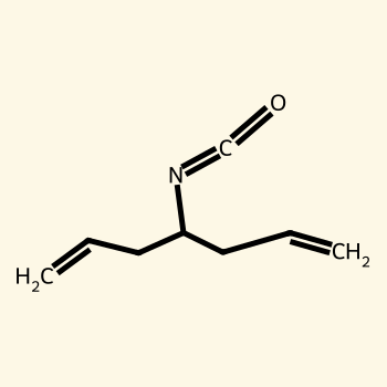 C=CCC(CC=C)N=C=O